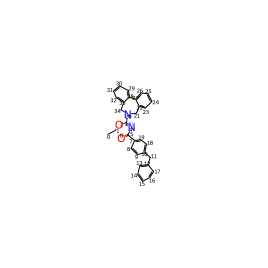 CCO/C(=N\C(=O)c1ccc(Cc2ccccc2)cc1)N1Cc2ccccc2-c2ccccc2C1